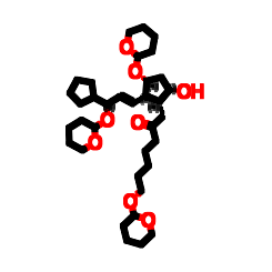 O=C(CCCCCOC1CCCCO1)C[C@@H]1[C@@H](C=C[C@@H](OC2CCCCO2)C2CCCC2)[C@H](OC2CCCCO2)C[C@@H]1O